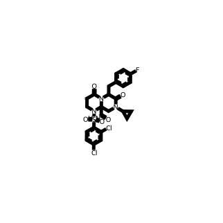 NC(=O)C12CN(C3CC3)C(=O)C(Cc3ccc(F)cc3)N1C(=O)[C]CN2S(=O)(=O)c1ccc(Cl)cc1Cl